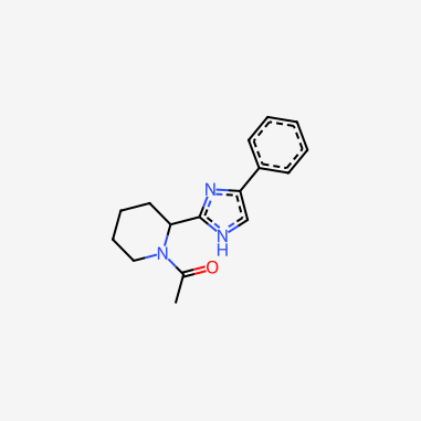 CC(=O)N1CCCCC1c1nc(-c2ccccc2)c[nH]1